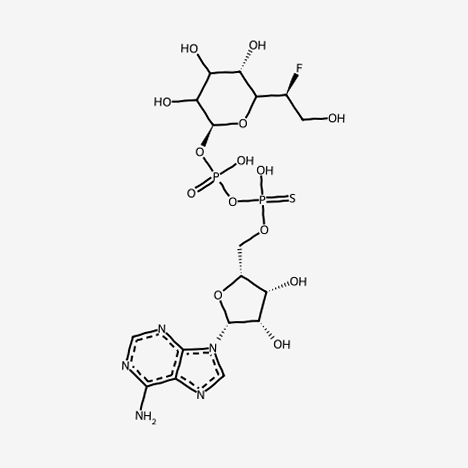 Nc1ncnc2c1ncn2[C@@H]1O[C@H](COP(O)(=S)OP(=O)(O)O[C@@H]2OC([C@@H](F)CO)[C@@H](O)C(O)C2O)[C@H](O)[C@@H]1O